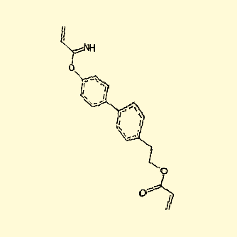 C=CC(=N)Oc1ccc(-c2ccc(CCOC(=O)C=C)cc2)cc1